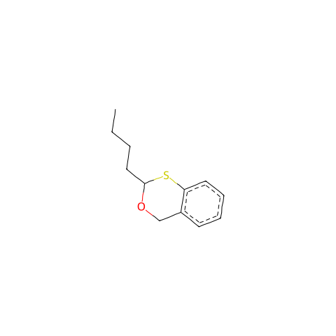 CCCCC1OCc2ccccc2S1